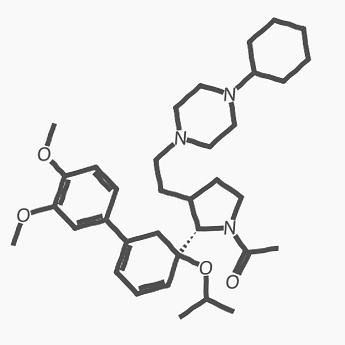 COc1ccc(C2=CC=CC(OC(C)C)([C@@H]3C(CCN4CCN(C5CCCCC5)CC4)CCN3C(C)=O)C2)cc1OC